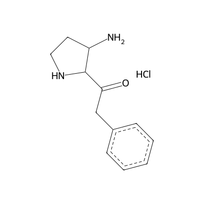 Cl.NC1CCNC1C(=O)Cc1ccccc1